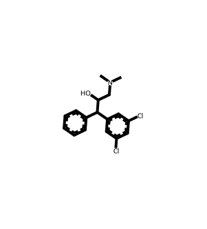 CN(C)CC(O)C(c1ccccc1)c1cc(Cl)cc(Cl)c1